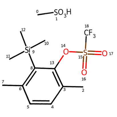 CS(=O)(=O)O.Cc1ccc(C)c([Si](C)(C)C)c1OS(=O)(=O)C(F)(F)F